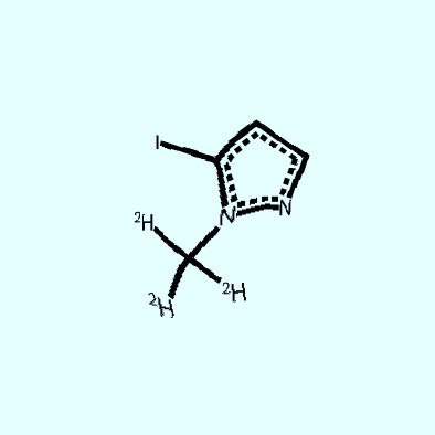 [2H]C([2H])([2H])n1nccc1I